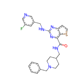 O=C(NCC1CCN(Cc2ccccc2)CC1)c1nc(NCc2cncc(F)c2)nc2ccsc12